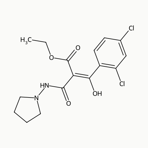 CCOC(=O)C(C(=O)NN1CCCC1)=C(O)c1ccc(Cl)cc1Cl